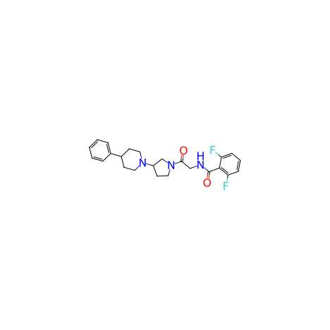 O=C(NCC(=O)N1CCC(N2CCC(c3ccccc3)CC2)C1)c1c(F)cccc1F